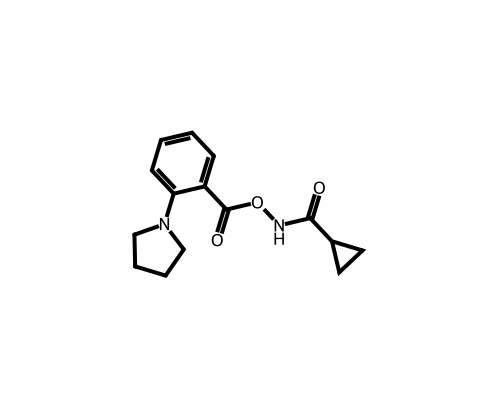 O=C(ONC(=O)C1CC1)c1ccccc1N1CCCC1